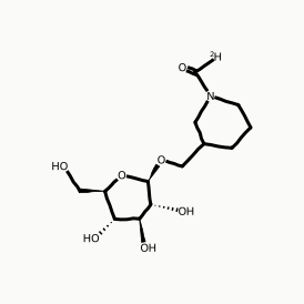 [2H]C(=O)N1CCCC(CO[C@@H]2O[C@H](CO)[C@@H](O)[C@H](O)[C@H]2O)C1